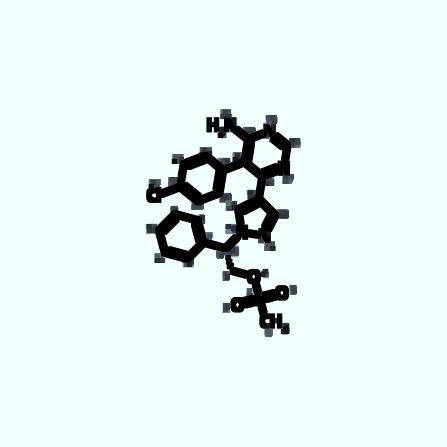 CS(=O)(=O)OC[C@H](c1ccccc1)n1cc(-c2ncnc(N)c2-c2ccc(Cl)cc2)cn1